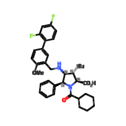 COc1ccc(-c2ccc(F)cc2F)cc1CN[C@H]1[C@H](C(C)(C)C)[C@@H](C(=O)O)N(C(=O)C2CCCCC2)[C@H]1c1ccccc1